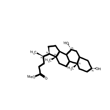 COC(=O)CC[C@@H](C)[C@H]1CCC2C3C(CC[C@@]21C)[C@@]1(C)CC[C@@H](O)CC1C[C@H]3O